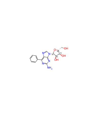 Nc1nc(-c2ccccc2)c2ncn([C@@H]3O[C@H](CO)[C@@H](O)[C@H]3O)c2n1